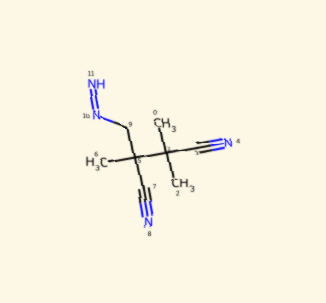 CC(C)(C#N)C(C)(C#N)CN=N